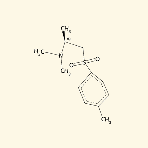 Cc1ccc(S(=O)(=O)C[C@H](C)N(C)C)cc1